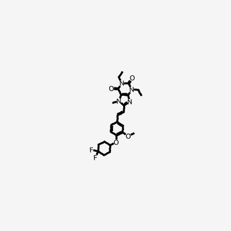 CCn1c(=O)c2c(nc(C=Cc3ccc(OC4CCC(F)(F)CC4)c(OC)c3)n2C)n(CC)c1=O